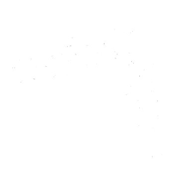 CC1(C)c2cc(-c3ccccc3)ccc2-c2ccc(-c3ccc4ccc5ccc(-c6ccc7c(c6)C(C)(C)c6cc(-c8ccccc8)ccc6-7)nc5c4n3)cc21